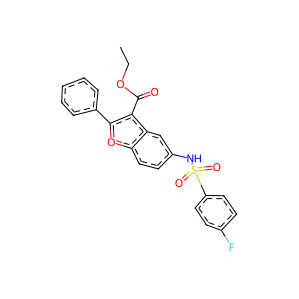 CCOC(=O)c1c(-c2ccccc2)oc2ccc(NS(=O)(=O)c3ccc(F)cc3)cc12